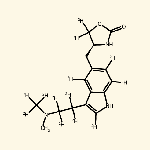 [2H]c1[nH]c2c([2H])c([2H])c(C[C@@H]3NC(=O)OC3([2H])[2H])c([2H])c2c1C([2H])([2H])C([2H])([2H])N(C)C([2H])([2H])[2H]